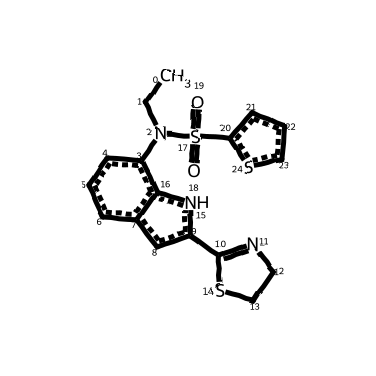 CCN(c1cccc2cc(C3=NCCS3)[nH]c12)S(=O)(=O)c1cccs1